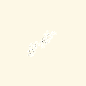 COc1cc(C)c(S(=O)(=O)NCCCN2CCc3ccccc3C2)c(C)c1C